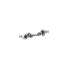 CS(=O)(=O)Oc1cccc2c1ccn2CCCCc1ccc(OC2(C(=O)O)CCCC2)cc1